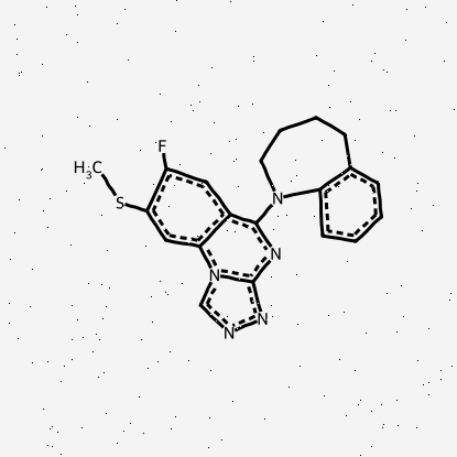 CSc1cc2c(cc1F)c(N1CCCCc3ccccc31)nc1nncn12